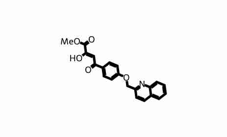 COC(=O)/C(O)=C/C(=O)c1ccc(OCc2ccc3ccccc3n2)cc1